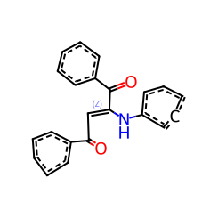 O=C(/C=C(\Nc1ccccc1)C(=O)c1ccccc1)c1ccccc1